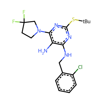 CC(C)(C)Sc1nc(NCc2ccccc2Cl)c(N)c(N2CCC(F)(F)C2)n1